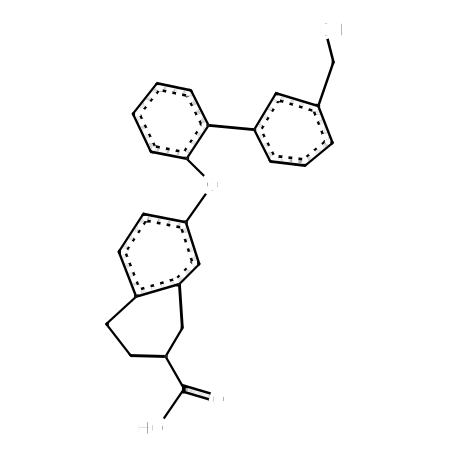 CCc1cccc(-c2ccccc2Oc2ccc3c(c2)CC(C(=O)O)CC3)c1